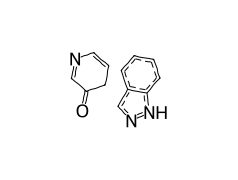 O=C1C=NC=CC1.c1ccc2[nH]ncc2c1